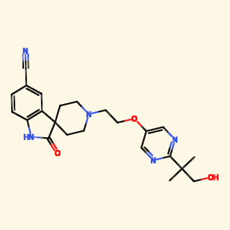 CC(C)(CO)c1ncc(OCCN2CCC3(CC2)C(=O)Nc2ccc(C#N)cc23)cn1